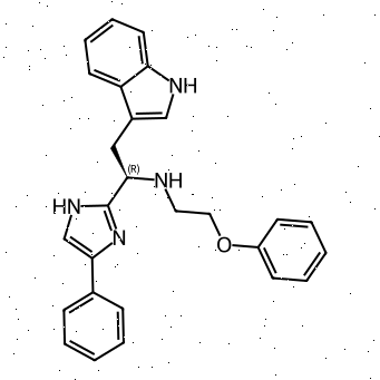 c1ccc(OCCN[C@H](Cc2c[nH]c3ccccc23)c2nc(-c3ccccc3)c[nH]2)cc1